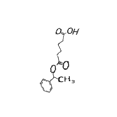 CC(OC(=O)CCCCC(=O)O)c1ccccc1